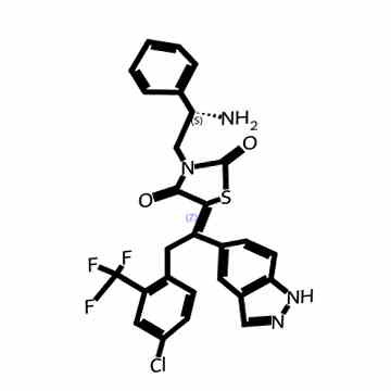 N[C@H](CN1C(=O)S/C(=C(/Cc2ccc(Cl)cc2C(F)(F)F)c2ccc3[nH]ncc3c2)C1=O)c1ccccc1